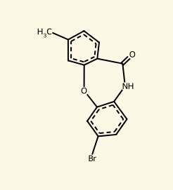 Cc1ccc2c(c1)Oc1cc(Br)ccc1NC2=O